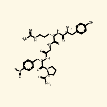 N=C(N)NCCC[C@H](NC(=O)[C@@H](N)Cc1ccc(O)cc1)C(=O)NCC(=O)N[C@@H](Cc1ccc([N+](=O)[O-])cc1)C(=O)N1CCC[C@H]1C(N)=O